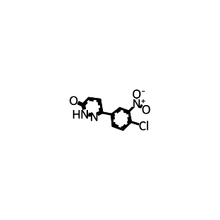 O=c1ccc(-c2ccc(Cl)c([N+](=O)[O-])c2)n[nH]1